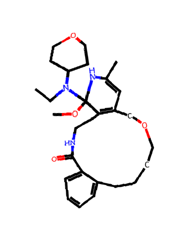 CCN(C1CCOCC1)C1(OC)NC(C)=CC2=C1CNC(=O)c1ccccc1CCCCOC2